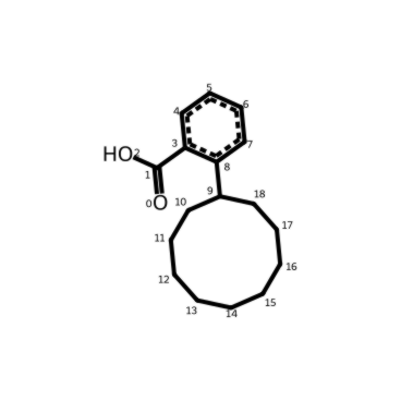 O=C(O)c1ccccc1C1CCCCCCCCC1